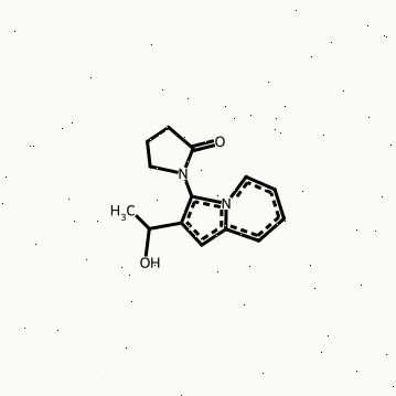 CC(O)c1cc2ccccn2c1N1CCCC1=O